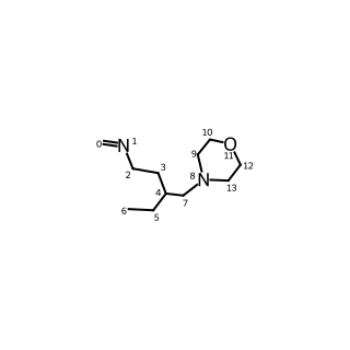 C=NCCC(CC)CN1CCOCC1